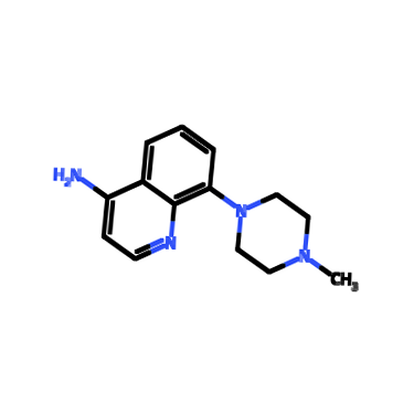 CN1CCN(c2cccc3c(N)ccnc23)CC1